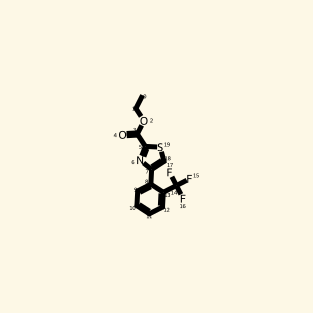 CCOC(=O)c1nc(-c2ccccc2C(F)(F)F)cs1